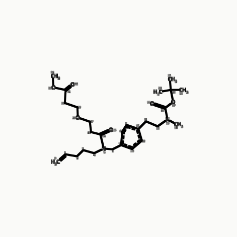 C=CCCCN(Cc1ccc(CCN(C)C(=O)OC(C)(C)C)cc1)C(=O)CCOCCC(=O)OC